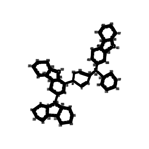 C1=CC(c2cc(-n3c4ccccc4c4ccccc43)cc3c2oc2ccccc23)CC=C1N(c1ccccc1)c1ccc2c(c1)oc1ccccc12